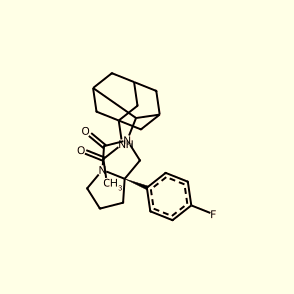 CC(=O)NC12CC3CC(C1)C(N1C[C@]4(c5ccc(F)cc5)CCCN4C1=O)C(C3)C2